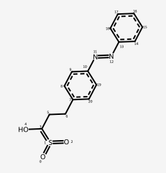 O=S(=O)=C(O)CCc1ccc(N=Nc2ccccc2)cc1